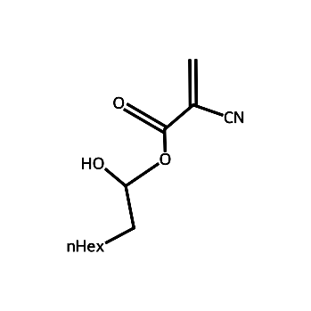 C=C(C#N)C(=O)OC(O)CCCCCCC